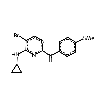 CSc1ccc(Nc2ncc(Br)c(NC3CC3)n2)cc1